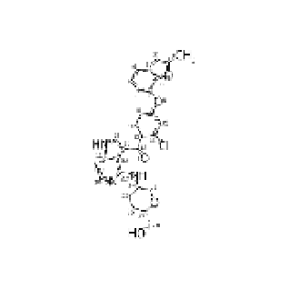 Cc1cc2cccc(Oc3ccc(C(=O)c4c[nH]c5ncnc(N[C@@H]6CC[C@@H](CO)OC6)c45)c(Cl)c3)c2o1